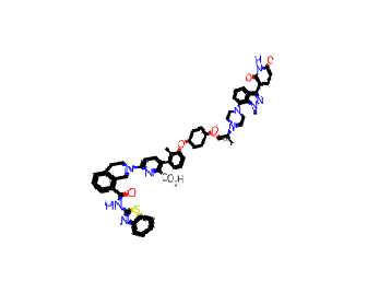 Cc1c(OC2CCC(OC[C@H](C)N3CCN(c4cccc5c(C6CCC(=O)NC6=O)nn(C)c45)CC3)CC2)cccc1-c1ccc(N2CCc3cccc(C(=O)Nc4nc5ccccc5s4)c3C2)nc1C(=O)O